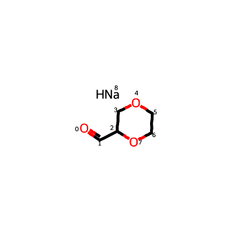 O=CC1COCCO1.[NaH]